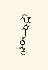 CCCCOC(=O)N=C(N)c1ccc(NCC#Cc2cc(C)c(N(CCC(=O)OC)C(=O)C3CC3)cc2C)cc1